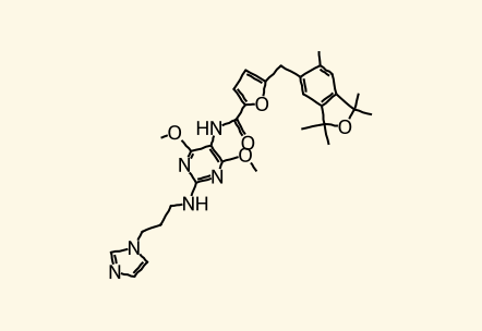 COc1nc(NCCCn2ccnc2)nc(OC)c1NC(=O)c1ccc(Cc2cc3c(cc2C)C(C)(C)OC3(C)C)o1